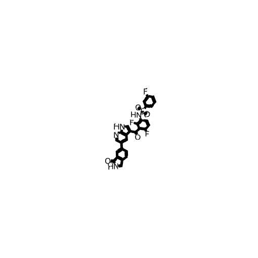 O=C1NCc2ccc(-c3cnc4[nH]cc(C(=O)c5c(F)ccc(NS(=O)(=O)c6cccc(F)c6)c5F)c4c3)cc21